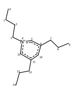 CCCC[n+]1cc(CCC)cc(CCC)c1